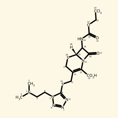 CN(C)CCn1nnnc1SCC1=C(C(=O)O)N2C(=O)C(NC(=O)OCC(Cl)(Cl)Cl)[C@H]2SC1